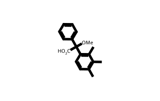 COC(C(=O)O)(c1ccccc1)c1ccc(C)c(C)c1C